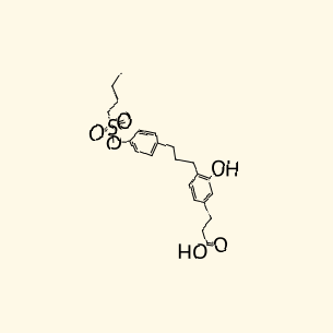 CCCCS(=O)(=O)Oc1ccc(CCCc2ccc(CCC(=O)O)cc2O)cc1